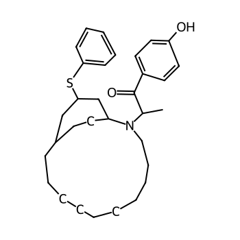 CC(C(=O)c1ccc(O)cc1)N1CCCCCCCCCCC2CCC1CC(Sc1ccccc1)C2